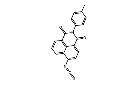 Cc1ccc(N2C(=O)c3cccc4c(N=C=S)ccc(c34)C2=O)cc1